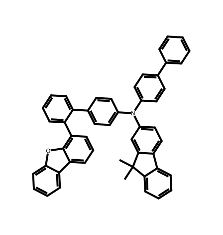 CC1(C)c2ccccc2-c2ccc(N(c3ccc(-c4ccccc4)cc3)c3ccc(-c4ccccc4-c4cccc5c4oc4ccccc45)cc3)cc21